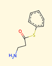 NCCC(=O)Sc1ccccc1